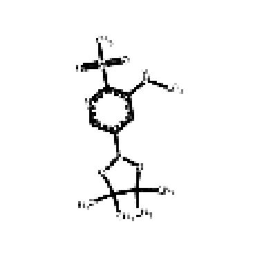 CNc1cc(B2OC(C)(C)C(C)(C)O2)cnc1S(C)(=O)=O